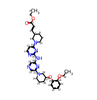 CCOC(=O)C=CC1CCCN(c2ccnc(Nc3cncc(N4CCCC(Oc5ccccc5OCC)C4)n3)n2)C1